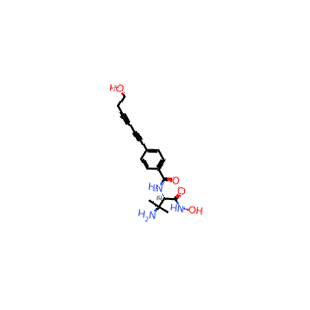 CC(C)(N)[C@H](NC(=O)c1ccc(C#CC#CCCO)cc1)C(=O)NO